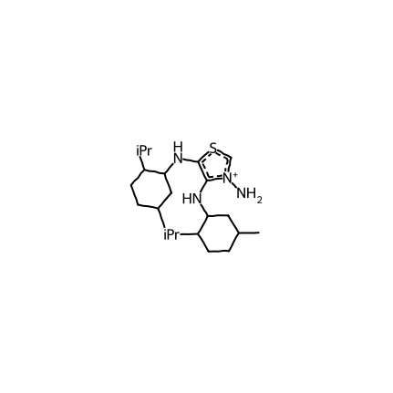 CC1CCC(C(C)C)C(Nc2sc[n+](N)c2NC2CC(C)CCC2C(C)C)C1